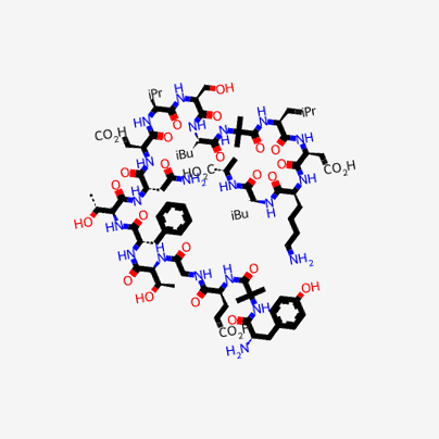 CC[C@H](C)[C@H](NC(=O)[C@H](CCCCN)NC(=O)[C@H](CC(=O)O)NC(=O)[C@H](CC(C)C)NC(=O)C(C)(C)NC(=O)[C@@H](NC(=O)[C@H](CO)NC(=O)[C@@H](NC(=O)[C@H](CC(=O)O)NC(=O)[C@H](CC(N)=O)NC(=O)[C@@H](NC(=O)[C@H](Cc1ccccc1)NC(=O)[C@@H](NC(=O)CNC(=O)[C@H](CCC(=O)O)NC(=O)C(C)(C)NC(=O)[C@@H](N)Cc1ccc(O)cc1)[C@@H](C)O)[C@@H](C)O)C(C)C)[C@@H](C)CC)C(=O)N[C@@H](C)C(=O)O